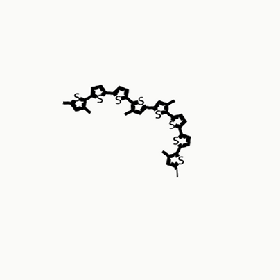 Cc1cc(C)c(-c2ccc(-c3ccc(-c4sc(-c5cc(C)c(-c6ccc(-c7ccc(-c8sc(I)cc8C)s7)s6)s5)cc4C)s3)s2)s1